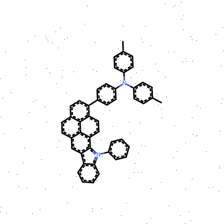 Cc1ccc(N(c2ccc(C)cc2)c2ccc(-c3ccc4ccc5cc6c7ccccc7n(-c7ccccc7)c6c6ccc3c4c56)cc2)cc1